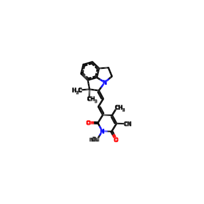 CCCCN1C(=O)C(=CC=C2N3CCc4cccc(c43)C2(C)C)C(C)=C(C#N)C1=O